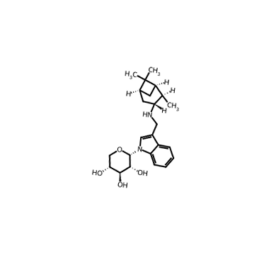 C[C@@H]1[C@H]2C[C@@H](C[C@H]1NCc1cn([C@H]3OC[C@@H](O)[C@H](O)[C@H]3O)c3ccccc13)C2(C)C